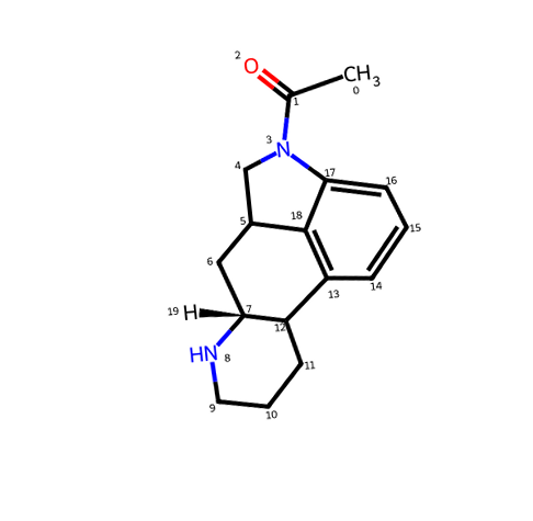 CC(=O)N1CC2C[C@H]3NCCCC3c3cccc1c32